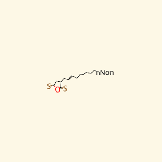 CCCCCCCCCCCCCCCC=CCC1CC(=S)OC1=S